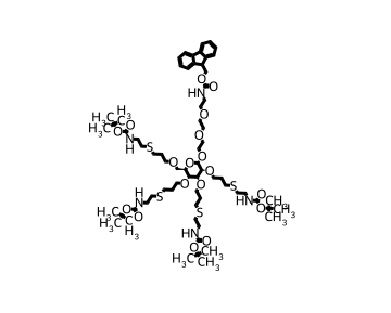 CC(C)(C)OC(=O)NCCSCCCOC[C@H]1O[C@@H](OCCOCCOCCNC(=O)OCC2c3ccccc3-c3ccccc32)[C@H](OCCCSCCNC(=O)OC(C)(C)C)[C@@H](OCCCSCCNC(=O)OC(C)(C)C)[C@@H]1OCCCSCCNC(=O)OC(C)(C)C